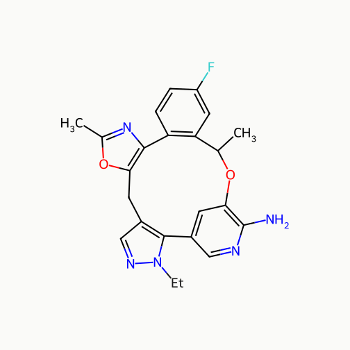 CCn1ncc2c1-c1cnc(N)c(c1)OC(C)c1cc(F)ccc1-c1nc(C)oc1C2